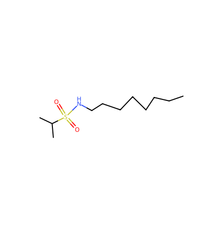 CCCCCCCCNS(=O)(=O)C(C)C